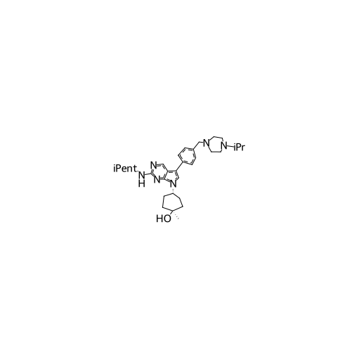 CCC[C@@H](C)Nc1ncc2c(-c3ccc(CN4CCN(C(C)C)CC4)cc3)cn([C@H]3CC[C@](C)(O)CC3)c2n1